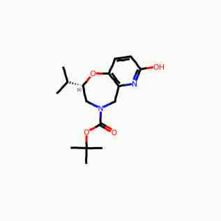 CC(C)[C@H]1CN(C(=O)OC(C)(C)C)Cc2nc(O)ccc2O1